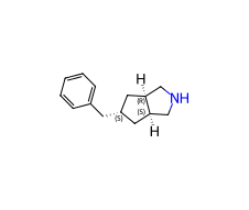 c1ccc(C[C@@H]2C[C@H]3CNC[C@H]3C2)cc1